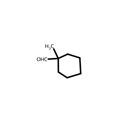 CC1([C]=O)CCCCC1